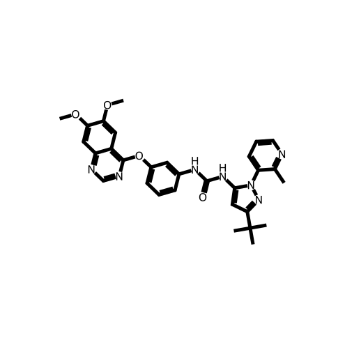 COc1cc2ncnc(Oc3cccc(NC(=O)Nc4cc(C(C)(C)C)nn4-c4cccnc4C)c3)c2cc1OC